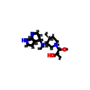 C[C@@H]1CCN(C(=O)[C@@H](C)O)C[C@@H]1N(C)c1ccnc2[nH]ccc12